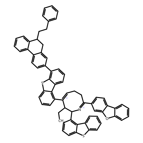 CCC1/C(c2cccc3sc4c(-c5ccc6c(c5)CC(CCc5ccccc5)c5ccccc5-6)cccc4c23)=C\CC/C(c2ccc3c(c2)oc2ccccc23)=N\C1c1cccc2sc3ccccc3c12